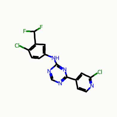 FC(F)c1cc(Nc2ncnc(-c3ccnc(Cl)c3)n2)ccc1Cl